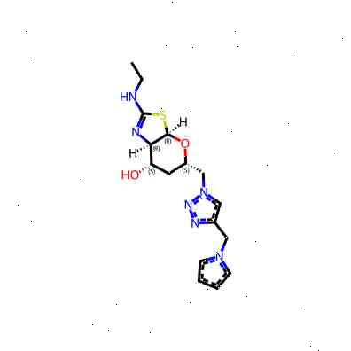 CCNC1=N[C@H]2[C@H](O[C@H](Cn3cc(Cn4cccc4)nn3)C[C@@H]2O)S1